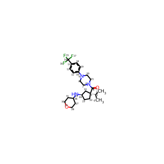 CC(C)[C@]1(C(=O)N2CCN(c3ccc(C(F)(F)F)cc3)CC2)CC[C@@H](NC2CCOCC2)C1